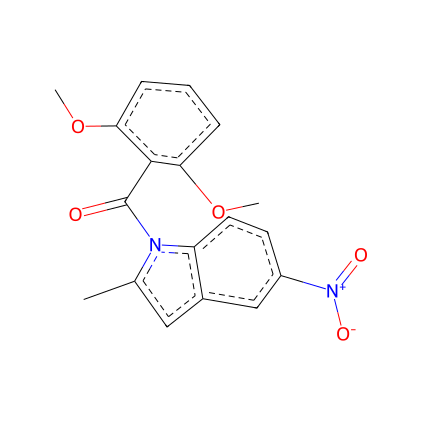 COc1cccc(OC)c1C(=O)n1c(C)cc2cc([N+](=O)[O-])ccc21